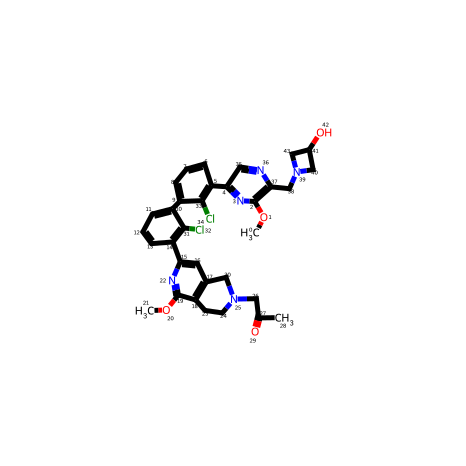 COc1nc(-c2cccc(-c3cccc(-c4cc5c(c(OC)n4)CCN(CC(C)=O)C5)c3Cl)c2Cl)cnc1CN1CC(O)C1